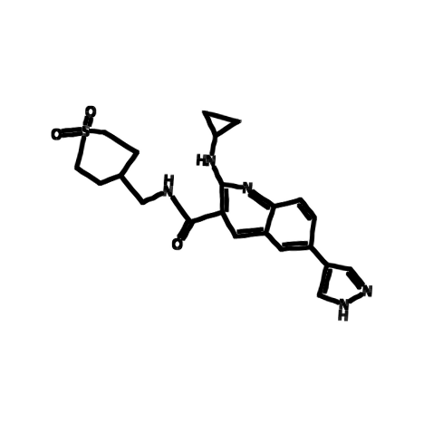 O=C(NCC1CCS(=O)(=O)CC1)c1cc2cc(-c3cn[nH]c3)ccc2nc1NC1CC1